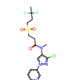 CN(C(=O)CCS(=O)(=O)CCC(C)(F)F)c1cn(-c2cccnc2)nc1Cl